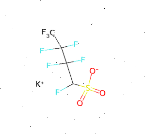 O=S(=O)([O-])C(F)C(F)(F)C(F)(F)C(F)(F)F.[K+]